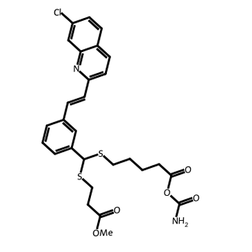 COC(=O)CCSC(SCCCCC(=O)OC(N)=O)c1cccc(C=Cc2ccc3ccc(Cl)cc3n2)c1